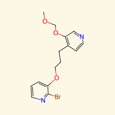 COCOc1cnccc1CCCOc1cccnc1Br